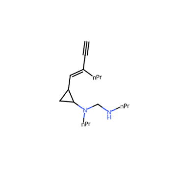 C#C/C(=C/C1CC1N(CCC)CNCCC)CCC